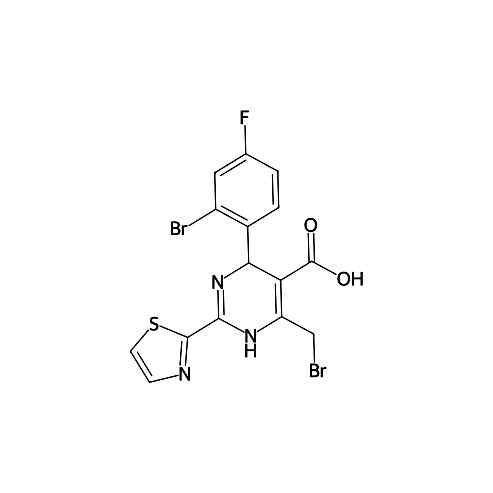 O=C(O)C1=C(CBr)NC(c2nccs2)=NC1c1ccc(F)cc1Br